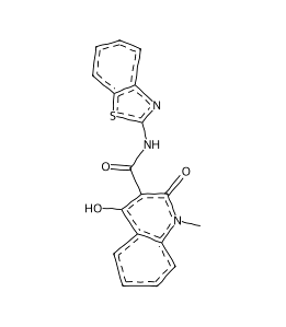 Cn1c(=O)c(C(=O)Nc2nc3ccccc3s2)c(O)c2ccccc21